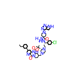 CCc1cccc(-c2cnc(C(=O)N3CCC(CN4CCN(CC[C@H](NC(=O)C5(N)CCN(c6ncnc7[nH]ccc67)CC5)c5ccc(Cl)cc5)CC4)CC3)c(NC(=O)OC(C)(C)C)c2)c1